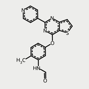 Cc1ccc(Oc2nc(-c3ccncc3)nc3ccsc23)cc1NC=O